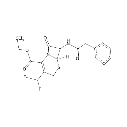 O=C(Cc1ccccc1)NC1C(=O)N2C(C(=O)OCC(Cl)(Cl)Cl)=C(C(F)F)CS[C@H]12